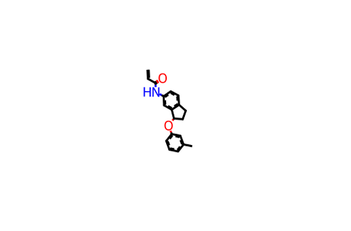 C=CC(=O)Nc1ccc2c(c1)C(Oc1cccc(C)c1)CC2